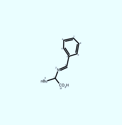 CCCCC(/N=C/c1ccccc1)C(=O)O